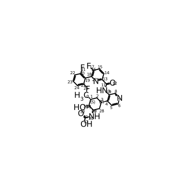 C[C@H]1C[C@@H](c2ccncc2NC(=O)c2ccc(F)c(-c3c(F)cccc3F)n2)C[C@@H](NC(=O)O)[C@@H]1O